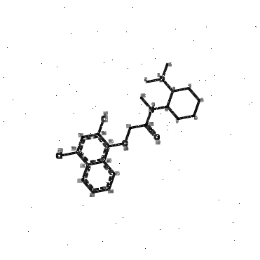 CN(C)C1CCCCC1N(C)C(=O)COc1c(Cl)cc(Cl)c2ccccc12